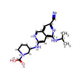 CC(C)Nc1nc(C#N)cc2cnc(NC3CCCN(C(=O)O)C3)cc12